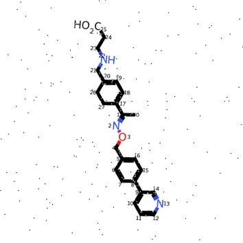 C/C(=N\OCc1ccc(-c2cccnc2)cc1)C1=CC=C(CNCCC(=O)O)CC1